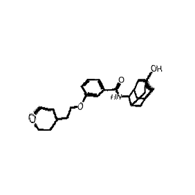 O=C(NC1C2CC3CC1CC(O)(C3)C2)c1cccc(OCCC2CCOCC2)c1